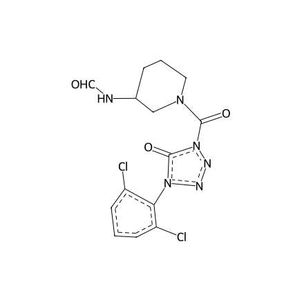 O=CNC1CCCN(C(=O)n2nnn(-c3c(Cl)cccc3Cl)c2=O)C1